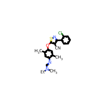 CCN(C)C=Nc1cc(C)c(Oc2snc(-c3ccccc3Cl)c2C#N)cc1C